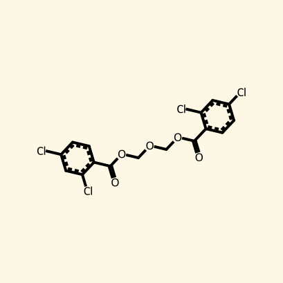 O=C(OCOCOC(=O)c1ccc(Cl)cc1Cl)c1ccc(Cl)cc1Cl